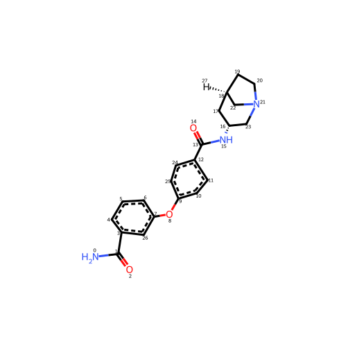 NC(=O)c1cccc(Oc2ccc(C(=O)N[C@@H]3C[C@H]4CCN(C4)C3)cc2)c1